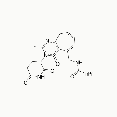 CCCC(=O)NCC1=CC=CCc2nc(C)n(C3CCC(=O)NC3=O)c(=O)c21